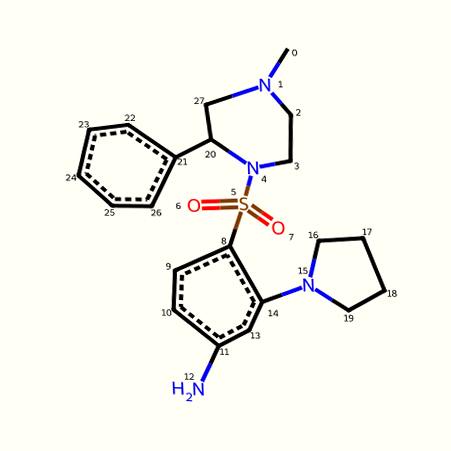 CN1CCN(S(=O)(=O)c2ccc(N)cc2N2CCCC2)C(c2ccccc2)C1